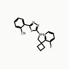 N#Cc1ccccc1-c1nnc(NCC2(c3ncccc3F)CCC2)s1